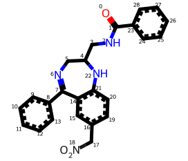 O=C(NCC1CN=C(c2ccccc2)c2cc(C[N+](=O)[O-])ccc2N1)c1ccccc1